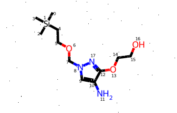 C[Si](C)(C)CCOCn1cc(N)c(OCCO)n1